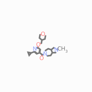 CN1CC2CCN(C(=O)c3cc(OCC4CCOCC4)nc(C4CC4)c3)CCC2C1